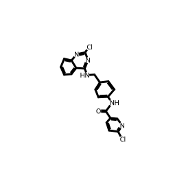 O=C(Nc1ccc(CNc2nc(Cl)nc3ccccc23)cc1)c1ccc(Cl)nc1